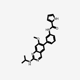 COc1cc2nc(NC(C)C)ncc2cc1-c1cccc(NC(=O)c2ccc[nH]2)c1